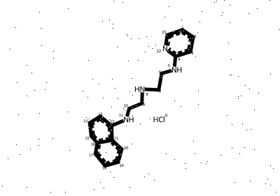 Cl.c1ccc(NCCNCCNc2cccc3ccccc23)nc1